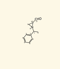 CC(c1ccccc1)N1CC1C=O